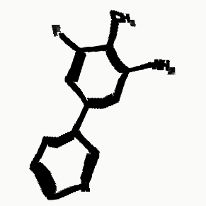 Cc1c(N)cc(-c2cccnc2)cc1F